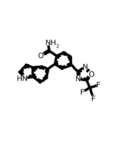 NC(=O)c1ccc(-c2noc(C(F)(F)F)n2)cc1-c1ccc2[nH]ccc2c1